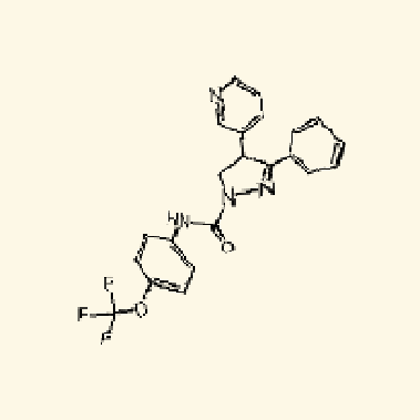 O=C(Nc1ccc(OC(F)(F)F)cc1)N1CC(c2cccnc2)C(c2ccccc2)=N1